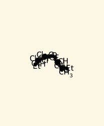 CCC(=O)Nc1cc(C)cc(COc2c(Cl)cc(CC(F)C(=O)OC(=O)C(F)Cc3cc(Cl)c(OCc4cc(Cl)cc(NC(=O)CC)c4)c(Cl)c3)cc2Cl)c1